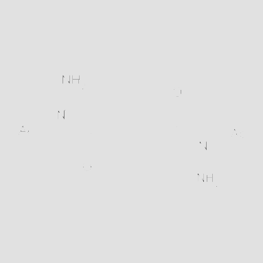 CC(=O)N(N)C(=O)CCC(=O)N(N)C(C)=O